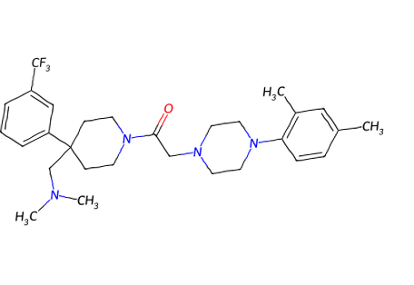 Cc1ccc(N2CCN(CC(=O)N3CCC(CN(C)C)(c4cccc(C(F)(F)F)c4)CC3)CC2)c(C)c1